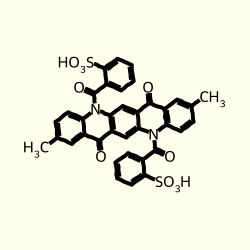 Cc1ccc2c(c1)c(=O)c1cc3c(cc1n2C(=O)c1ccccc1S(=O)(=O)O)c(=O)c1cc(C)ccc1n3C(=O)c1ccccc1S(=O)(=O)O